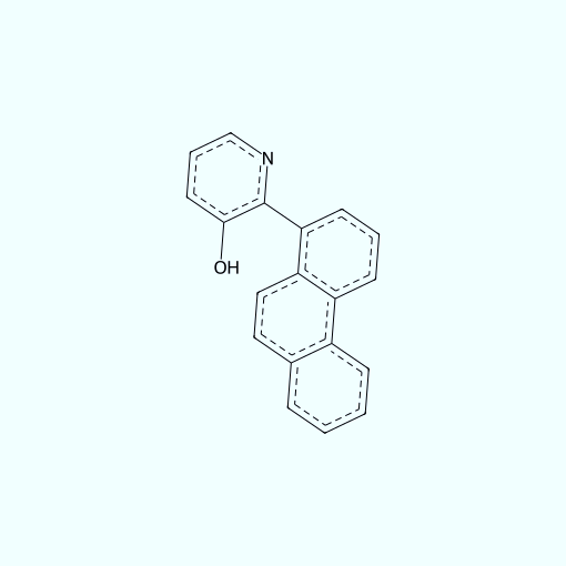 Oc1cccnc1-c1cccc2c1ccc1ccccc12